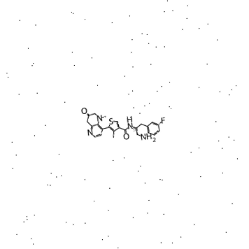 Cc1c(C(=O)N[C@H](CN)Cc2cccc(F)c2)csc1-c1ccnc2c1N(C)CC(=O)C2